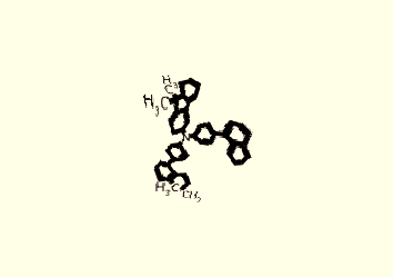 C=C/C=C\c1c(C)cccc1-c1ccc(N(c2ccc(-c3cccc4ccccc34)cc2)c2ccc3c(c2)-c2ccccc2C3(C)C)cc1